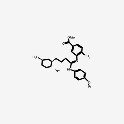 COC(=O)c1ccc(C)c(/N=C(\CCC[C@@H]2C[C@H](C)CC[C@H]2C(C)C)Nc2ccc(OC(C)C)cc2)c1